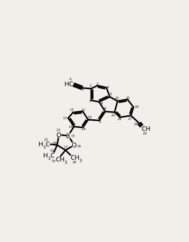 C#Cc1ccc2c(c1)C(=Cc1cccc(B3OC(C)(C)C(C)(C)O3)c1)c1cc(C#C)ccc1-2